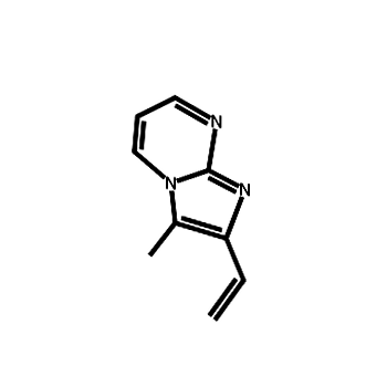 C=Cc1nc2ncccn2c1C